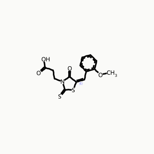 COc1ccccc1/C=C1/SC(=S)N(CCC(=O)O)C1=O